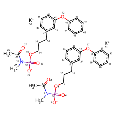 CC(=O)N(C)P(=O)([O-])OCCCc1cccc(Oc2ccccc2)c1.CC(=O)N(C)P(=O)([O-])OCCCc1cccc(Oc2ccccc2)c1.[K+].[K+]